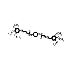 COc1cc(/C=C/C=C/C(=O)NC2CCC(NC(=O)/C=C/C=C/c3cc(OC)c(OC)c(OC)c3)CC2)cc(OC)c1OC